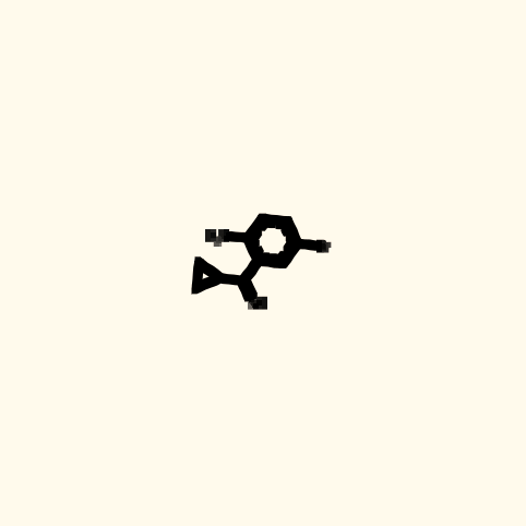 N=C(c1cc(Br)ccc1N)C1CC1